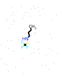 CCCCNSC(F)(F)F